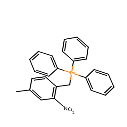 Cc1ccc(C[P+](c2ccccc2)(c2ccccc2)c2ccccc2)c([N+](=O)[O-])c1